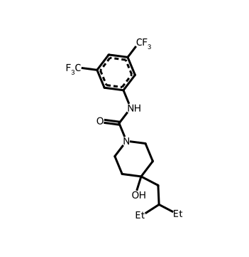 CCC(CC)CC1(O)CCN(C(=O)Nc2cc(C(F)(F)F)cc(C(F)(F)F)c2)CC1